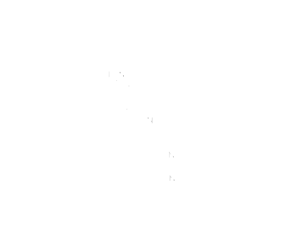 Cc1nccc(-c2cnc(OCC(C)(N)CC(C)C)c(C)c2)n1